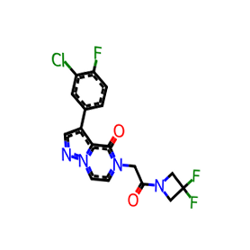 O=C(Cn1ccn2ncc(-c3ccc(F)c(Cl)c3)c2c1=O)N1CC(F)(F)C1